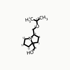 CC(C)OCC1CCC2(CO)CCCN12